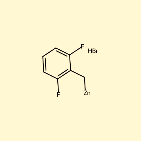 Br.Fc1cccc(F)c1[CH2][Zn]